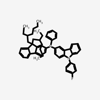 CCCCC(CC)CC1(CC(CC)CCCC)c2ccccc2-c2ccc(N(c3ccccc3)c3ccc4c(c3)c3ccccc3n4-c3ccc(F)cc3)cc21